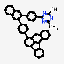 Cc1nc(C)nc(-c2ccc(-c3cc4ccccc4cc3-c3ccc(-c4ccc5c6c(c7ccccc7cc46)-c4ccccc4-5)cc3)cc2)n1